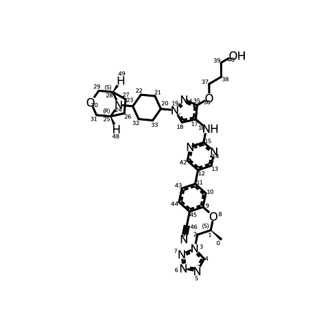 C[C@@H](Cn1cnnn1)Oc1cc(-c2cnc(Nc3cn(C4CCC(N5[C@@H]6CC[C@H]5COC6)CC4)nc3OCCCO)nc2)ccc1C#N